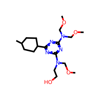 COCN(CCO)c1nc(C2CCC(C)CC2)nc(N(COC)COC)n1